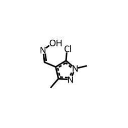 Cc1nn(C)c(Cl)c1/C=N\O